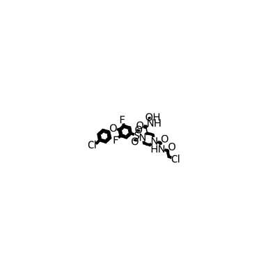 O=C(CCl)NC(=O)N1CCN(S(=O)(=O)c2cc(F)c(Oc3ccc(Cl)cc3)c(F)c2)[C@@H](C(=O)NO)C1